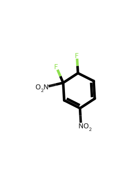 O=[N+]([O-])C1=CC(F)([N+](=O)[O-])C(F)C=C1